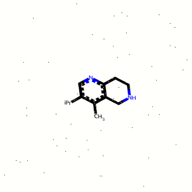 Cc1c(C(C)C)cnc2c1CNCC2